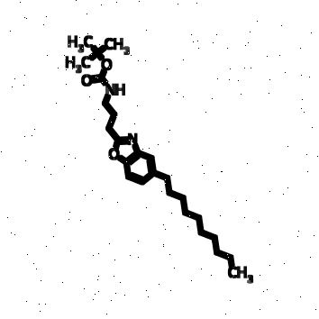 CCCCCCCCCCc1ccc2oc(CCCNC(=O)OC(C)(C)C)nc2c1